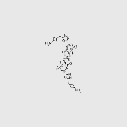 NC1CC(Cc2nnc([C@@H]3CC4(CC4)[C@@H]4CN3C(=O)N4OS(=O)(=O)ON3C(=O)N4C[C@H]3C3(CC3)C[C@H]4c3nnc(CC4CC(N)C4)o3)o2)C1